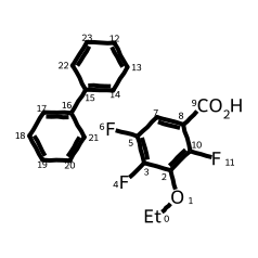 CCOc1c(F)c(F)cc(C(=O)O)c1F.c1ccc(-c2ccccc2)cc1